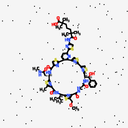 CNC(=O)C[C@@H]1NC(=O)c2csc(n2)-c2ccc(-c3nc(NC(=O)C(C)(C)CCCC(C)(C)C(=O)O)cs3)nc2-c2csc(n2)-c2csc(n2)[C@H]([C@@H](O)c2ccccc2)NC(=O)CNC(=O)c2nc(sc2COC)[C@@H](C(C)C)NC(=O)c2nc1sc2C